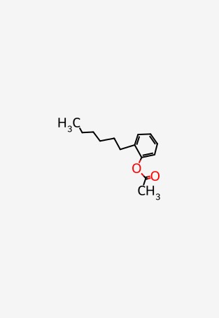 CCCCCCc1ccccc1OC(C)=O